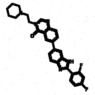 O=c1c2cc(-c3ccc4nc(-c5ccc(F)cc5F)[nH]c4c3)ccc2ncn1CCN1CCCCC1